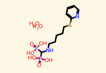 O.O.O=P(O)(O)C(NCCCCCSc1ccccn1)P(=O)(O)O